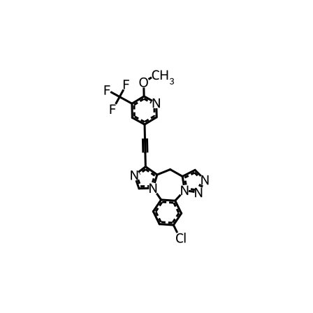 COc1ncc(C#Cc2ncn3c2Cc2cnnn2-c2cc(Cl)ccc2-3)cc1C(F)(F)F